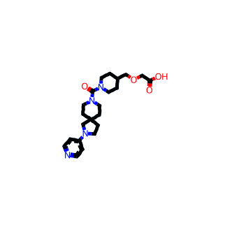 O=C(O)COCC1CCN(C(=O)N2CCC3(CC2)CCN(c2ccncc2)C3)CC1